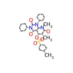 Cc1ccc(S(=O)(=O)Oc2c(C)c(=O)n(C)c3c2c(=O)n(-c2ccccc2)c(=O)n3-c2ccccc2)cc1